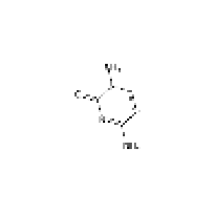 Cn1c[c]c(N)nc1=O